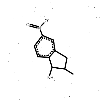 CC1Cc2cc([N+](=O)[O-])ccc2C1N